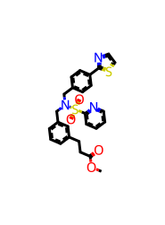 COC(=O)CCc1cccc(CN(Cc2ccc(-c3nccs3)cc2)S(=O)(=O)c2ccccn2)c1